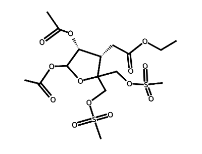 CCOC(=O)C[C@H]1[C@@H](OC(C)=O)C(OC(C)=O)OC1(COS(C)(=O)=O)COS(C)(=O)=O